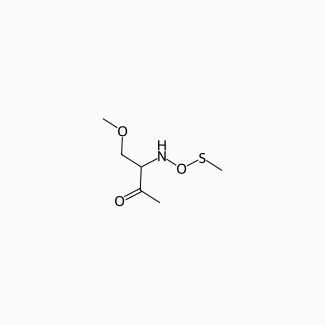 COCC(NOSC)C(C)=O